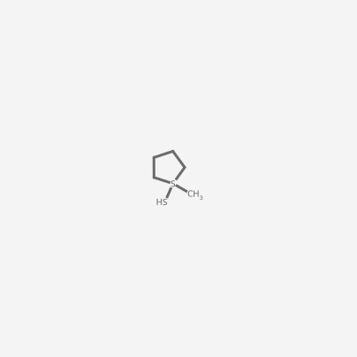 CS1(S)CCCC1